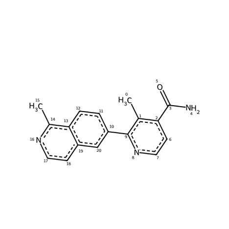 Cc1c(C(N)=O)ccnc1-c1ccc2c(C)nccc2c1